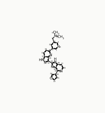 CN(C)Cc1cncc(-c2ccc3[nH]nc(-c4nc5c(-c6ccoc6)nccc5[nH]4)c3n2)c1